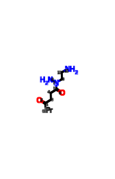 CC(C)C(=O)CCC(=O)N(N)CCN